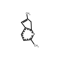 CC1=Cc2ccc(C)nc2C1